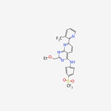 CCOCc1nc(Nc2ccc(S(=O)(=O)C(F)(F)F)cc2)c2ccc(-c3ncccc3C(F)(F)F)nc2n1